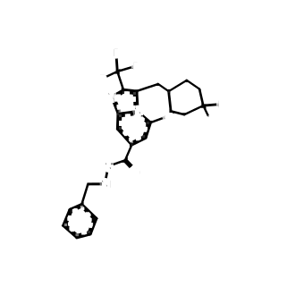 O=C(NNCc1ccccc1)c1cc(Cl)n2c(CC3CCC(F)(F)CC3)c(C(F)(F)F)nc2c1